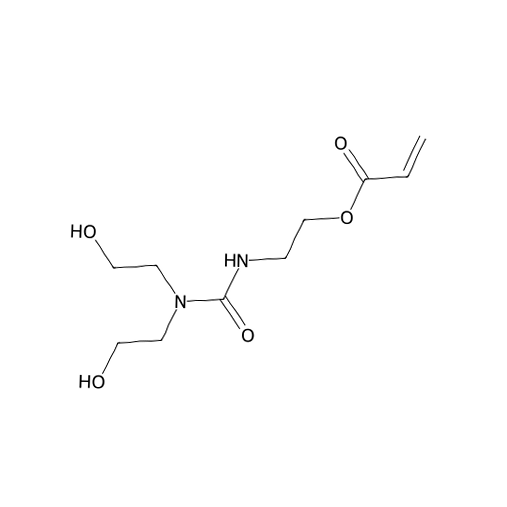 C=CC(=O)OCCNC(=O)N(CCO)CCO